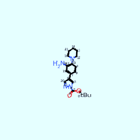 CC(C)(C)OC(=O)n1cc(-c2ccc(N3CCCCC3)c(N)c2)cn1